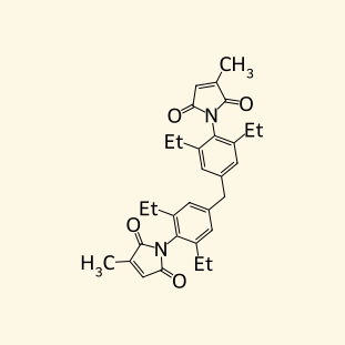 CCc1cc(Cc2cc(CC)c(N3C(=O)C=C(C)C3=O)c(CC)c2)cc(CC)c1N1C(=O)C=C(C)C1=O